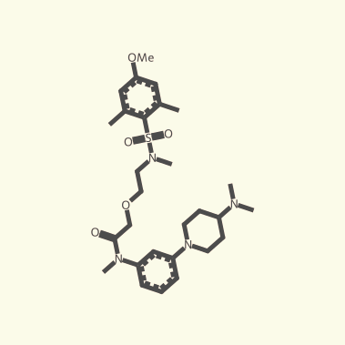 COc1cc(C)c(S(=O)(=O)N(C)CCOCC(=O)N(C)c2cccc(N3CCC(N(C)C)CC3)c2)c(C)c1